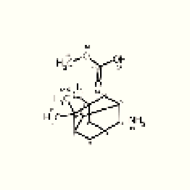 CC12CC3CC(CC(C3)C1(C)C)C2.COC(=O)O.N